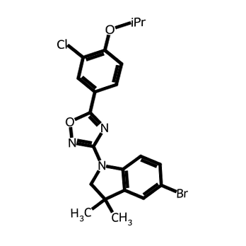 CC(C)Oc1ccc(-c2nc(N3CC(C)(C)c4cc(Br)ccc43)no2)cc1Cl